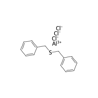 [Al+3].[Cl-].[Cl-].[Cl-].c1ccc(CSCc2ccccc2)cc1